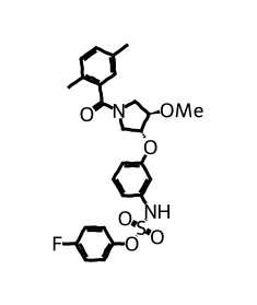 CO[C@@H]1CN(C(=O)c2cc(C)ccc2C)C[C@H]1Oc1cccc(NS(=O)(=O)Oc2ccc(F)cc2)c1